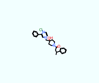 CC(CC(=O)N1CCC(O)(CN2C=CN(Cl)C(c3ccccc3)=C2)CC1)c1ccccc1